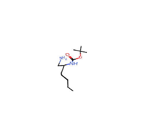 CCCCC(CN)NC(=O)OC(C)(C)C